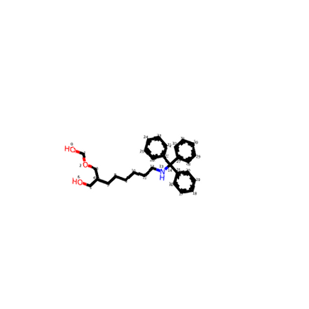 OCOCC(CO)CCCCCCNC(c1ccccc1)(c1ccccc1)c1ccccc1